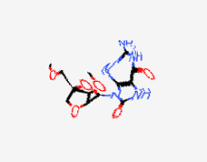 COC[C@]12COC(C1OC)[C@H](n1c(=O)[nH]c3c(=O)[nH]c(N)nc31)O2